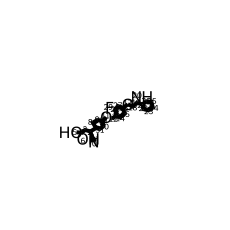 N#CC(CC(O)O)c1ccc(OCc2ccc(OCC(=N)c3ccccc3)cc2F)cc1